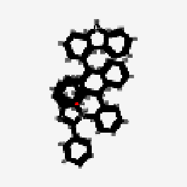 c1ccc(-c2nc3ccccc3n2-c2ccccc2-c2c3ccccc3c(-c3cccc4oc5ccccc5c34)c3ccccc23)cc1